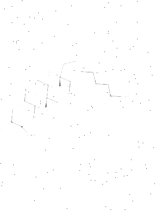 C[C@H](CCC(=O)O)[C@H]1CC[C@H]2[C@@H]3CCC4=CC(=O)C(O)(O)C[C@]4(C)[C@H]3CC[C@]12C